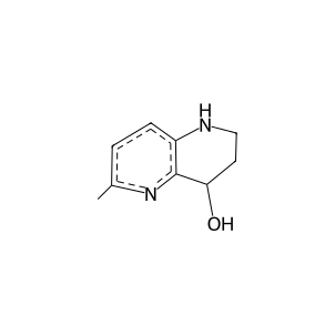 Cc1ccc2c(n1)C(O)CCN2